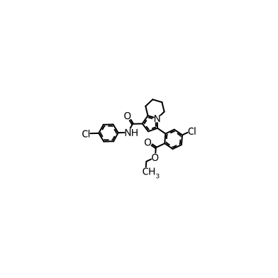 CCOC(=O)c1ccc(Cl)cc1-c1cc(C(=O)Nc2ccc(Cl)cc2)c2n1CCCC2